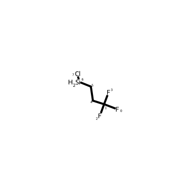 FC(F)(F)CC[SiH2]Cl